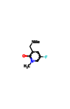 CNCc1cc(F)cn(C)c1=O